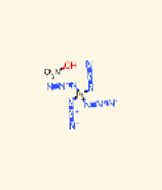 O=[N+]([O-])O.[N-]=[N+]=[N][Pt]([N]=[N+]=[N-])([N]=[N+]=[N-])[N]=[N+]=[N-]